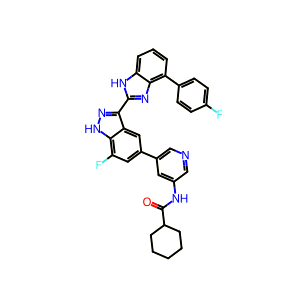 O=C(Nc1cncc(-c2cc(F)c3[nH]nc(-c4nc5c(-c6ccc(F)cc6)cccc5[nH]4)c3c2)c1)C1CCCCC1